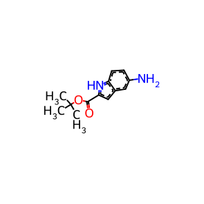 CC(C)(C)OC(=O)c1cc2cc(N)ccc2[nH]1